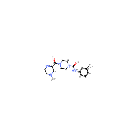 CC(C)N1CCN[C@@H](C(=O)N2CCN(C(=O)Nc3cccc(C(F)(F)F)c3)CC2)C1